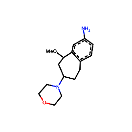 COC1CC(N2CCOCC2)CCc2ccc(N)cc21